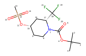 CC(C)(C)OC(=O)N1CC[C@H](OS(C)(=O)=O)C[C@@H]1C(F)(F)F